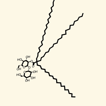 CCCCCCCCCCCCCCCCCCCCCCC(CCCCCCCCCCCCCCCCCCCC)(CCCCCCCCCCCCCCCCCCCCCC)C(=O)O[C@H]1[C@@H](O[C@H]2O[C@H](CO)[C@@H](O)[C@H](O)[C@H]2O)O[C@H](CO)[C@@H](O)[C@@H]1O